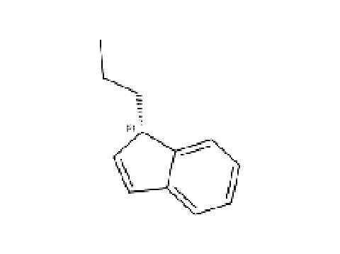 CCC[C@H]1C=Cc2ccccc21